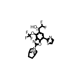 O[C@@H](c1cc(-c2nccs2)c2oc(N3CC4CCC(C3)N4)nc2c1OC(F)(F)F)C(F)F